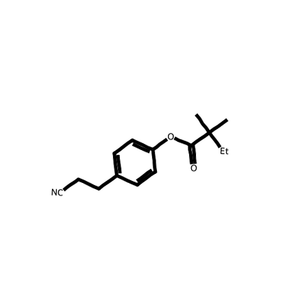 CCC(C)(C)C(=O)Oc1ccc(CCC#N)cc1